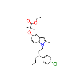 CCCC(CCn1c(C)cc2cc(OC(C)(C)C(=O)OCC)ccc21)c1ccc(Cl)cc1